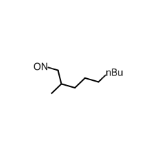 CCCCCCCC(C)CN=O